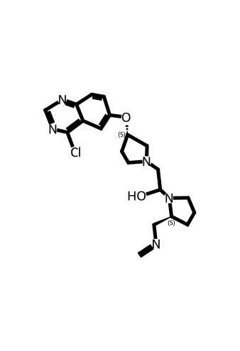 C=NC[C@@H]1CCCN1C(O)CN1CC[C@H](Oc2ccc3ncnc(Cl)c3c2)C1